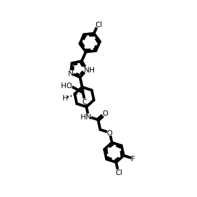 O=C(COc1ccc(Cl)c(F)c1)NC12CCC(c3ncc(-c4ccc(Cl)cc4)[nH]3)(CC1)[C@H](O)C2